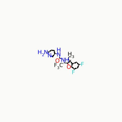 Cc1c([C@@H](NC(=O)Nc2ccc(N)nc2)C(F)(F)F)oc2c(F)cc(F)cc12